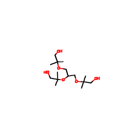 CC(C)(CO)OCC(COC(C)(C)CO)OC(C)(C)CO